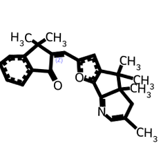 CC1=CN=C2c3oc(/C=C4\C(=O)c5ccccc5C4(C)C)cc3C(C)(C)C2(C)C1